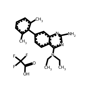 CCN(CC)c1nc(N)nc2cc(-c3c(C)cccc3C)ccc12.O=C(O)C(F)(F)F